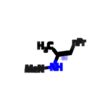 CCC/C=C(\C)NNC